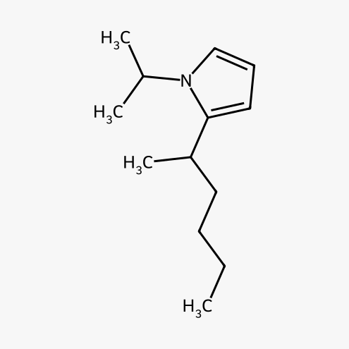 CCCCC(C)c1cccn1C(C)C